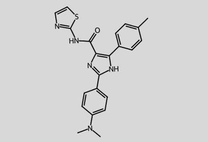 Cc1ccc(-c2[nH]c(-c3ccc(N(C)C)cc3)nc2C(=O)Nc2nccs2)cc1